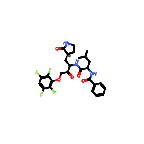 CC(C)CC(NC(=O)c1ccccc1)C(=O)NC(C[C@@H]1CCNC1=O)C(=O)COc1c(F)c(F)cc(F)c1F